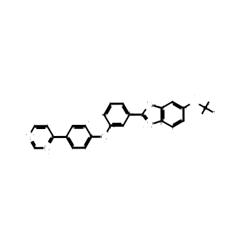 FC(F)(F)Oc1ccc2nc(-c3cccc(Nc4ccc(-c5ccncn5)cc4)c3)[nH]c2c1